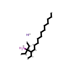 CCCCCCCCCCCCC(CC)C(P)(CC)CC.I